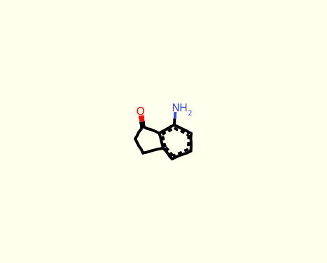 Nc1cccc2c1C(=O)CC2